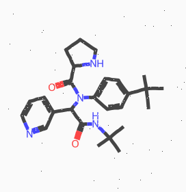 CC(C)(C)NC(=O)C(c1cccnc1)N(C(=O)C1CCCN1)c1ccc(C(C)(C)C)cc1